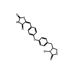 CCN1C(=O)OCC1Cc1ccc(Oc2ccc(/C=C3/SC(=O)NC3=O)cc2)cc1